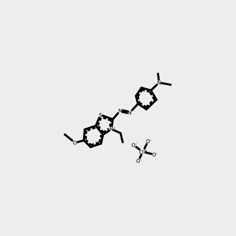 CC[n+]1c(/N=N/c2ccc(N(C)C)cc2)sc2cc(OC)ccc21.[O-][Cl+3]([O-])([O-])[O-]